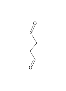 O=CCCP=O